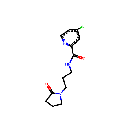 O=C(NCCCN1CCCC1=O)c1cc(Cl)ccn1